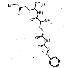 NC(CCC(=O)NC(=O)OCc1ccccc1)C(=O)NC(CCC(=O)CBr)C(=O)O